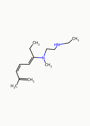 C=C(C)/C=C\C=C(/CC)N(C)CCNCC